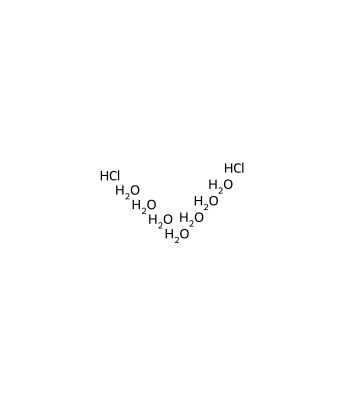 Cl.Cl.O.O.O.O.O.O.O